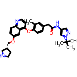 Cc1cc(CC(=O)Nc2cnn(C(C)(C)C)c2)ccc1Oc1ccnc2ccc(OC[C@@H]3CCNC3)cc12